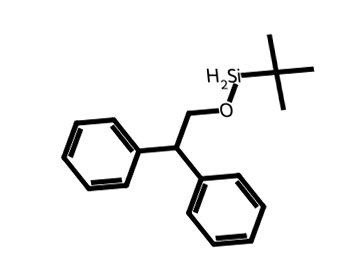 CC(C)(C)[SiH2]OCC(c1ccccc1)c1ccccc1